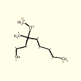 CCCCCC(C)(CCO)OC